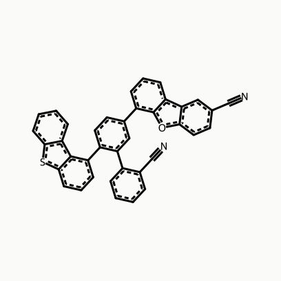 N#Cc1ccc2oc3c(-c4ccc(-c5cccc6sc7ccccc7c56)c(-c5ccccc5C#N)c4)cccc3c2c1